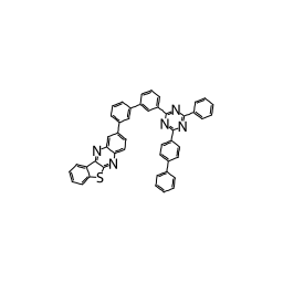 c1ccc(-c2ccc(-c3nc(-c4ccccc4)nc(-c4cccc(-c5cccc(-c6ccc7nc8sc9ccccc9c8nc7c6)c5)c4)n3)cc2)cc1